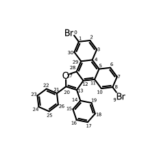 Brc1ccc2c3ccc(Br)cc3c3c(-c4ccccc4)c(-c4ccccc4)oc3c2c1